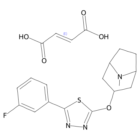 CN1C2CCC1CC(Oc1nnc(-c3cccc(F)c3)s1)C2.O=C(O)/C=C/C(=O)O